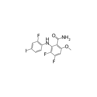 COc1cc(F)c(F)c(Nc2ccc(I)cc2F)c1C(N)=O